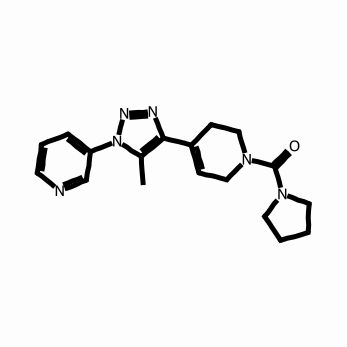 Cc1c(C2=CCN(C(=O)N3CCCC3)CC2)nnn1-c1cccnc1